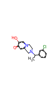 CC(c1cccc(Cl)c1)N1CCn2cc(O)c(=O)cc2C1